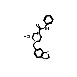 Cl.O=C(Nc1ccccc1)N1CCN(Cc2ccc3c(c2)OCO3)CC1